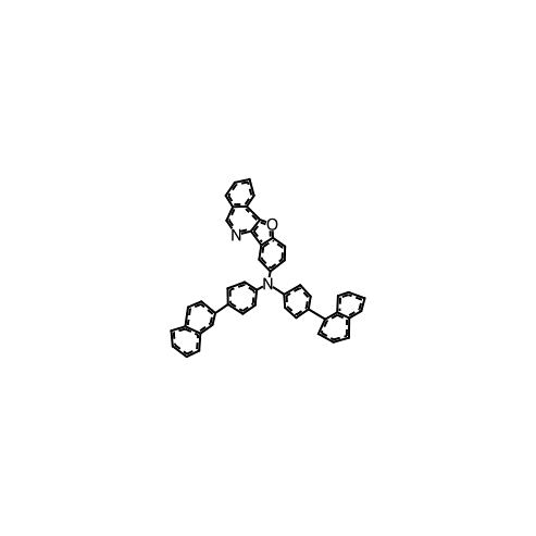 c1ccc2cc(-c3ccc(N(c4ccc(-c5cccc6ccccc56)cc4)c4ccc5oc6c7ccccc7cnc6c5c4)cc3)ccc2c1